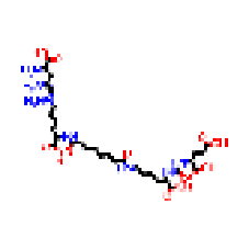 N/C(=C\N(N)CCCCC(NC(=O)CCCCCCC(=O)NCCCCC(NC(=O)NC(CCC(=O)O)C(=O)O)C(=O)O)C(=O)O)CC(N)C(=O)O